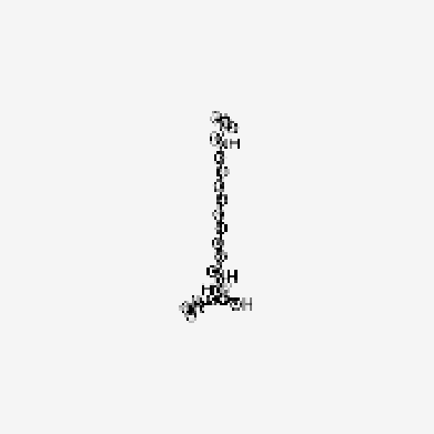 Cn1c(COc2ccc(CO)cc2NC(=O)CNC(=O)CCOCCOCCOCCOCCOCCOCCOCCOCCNC(=O)CCN2C(=O)C=CC2=O)cnc1[N+](=O)[O-]